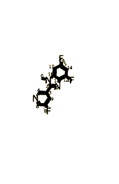 Cn1c(-c2cncc(F)c2)nc2c(F)cc(F)cc21